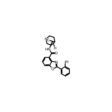 CC(C)c1ccccc1-c1nc2c(C(=O)N[C@@H]3CN4CCC3CC4)cccc2o1